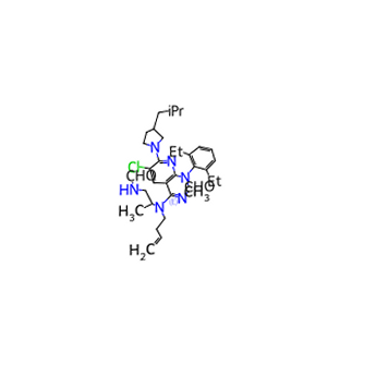 C=CCCN(/C(=N/C)c1cc(Cl)c(N2CCC(CC(C)C)C2)nc1N(C=O)c1c(CC)cccc1CC)C(C)CNC=O